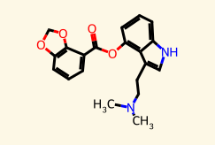 CN(C)CCc1c[nH]c2cccc(OC(=O)c3cccc4c3OCO4)c12